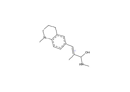 CNC(O)/C(C)=C/c1ccc2c(c1)CCCN2C